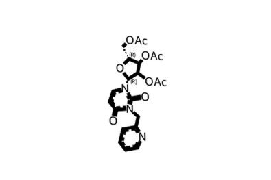 CC(=O)OC[C@H]1O[C@@H](n2ccc(=O)n(Cc3ccccn3)c2=O)C(OC(C)=O)C1OC(C)=O